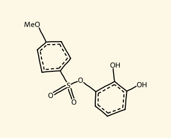 COc1ccc(S(=O)(=O)Oc2cccc(O)c2O)cc1